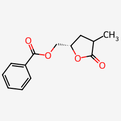 CC1C[C@@H](COC(=O)c2ccccc2)OC1=O